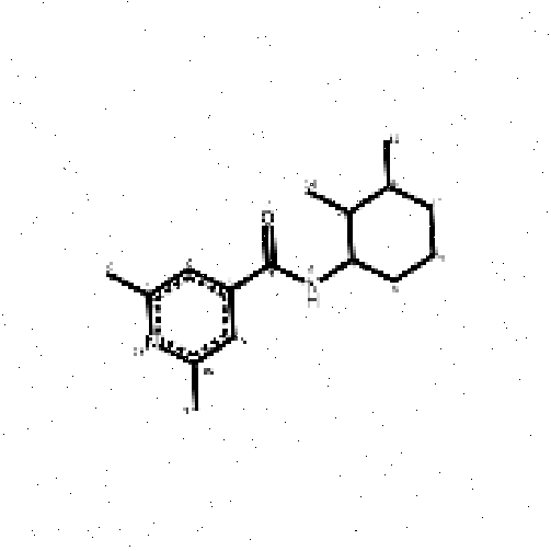 Cc1cc(C(=O)NC2CCCC(C)C2C)cc(C)n1